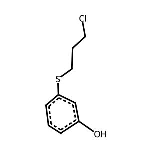 Oc1cccc(SCCCCl)c1